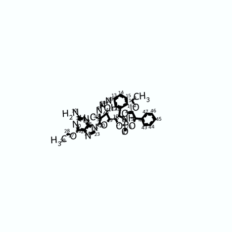 CCOC(=O)C(OP(=O)(NCc1ccccc1)OC[C@H]1O[C@@H](n2cnc3c(OCC)nc(N)nc32)[C@](C)(N=[N+]=[N-])[C@@H]1O)c1ccccc1